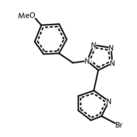 COc1ccc(Cn2nnnc2-c2cccc(Br)n2)cc1